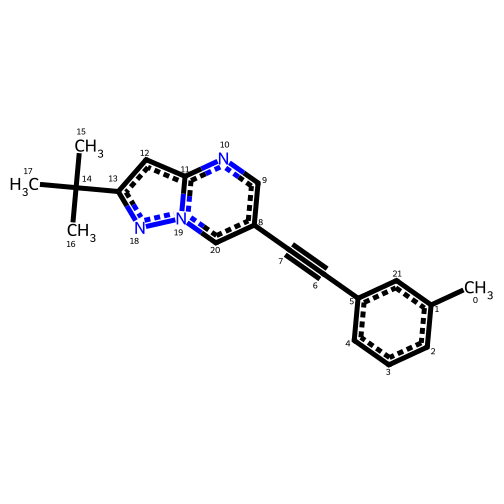 Cc1cccc(C#Cc2cnc3cc(C(C)(C)C)nn3c2)c1